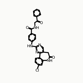 O=C1Cc2cnc(Nc3ccc(C(=O)NCC(=O)c4ccccc4)cc3)nc2-c2ccc(Cl)cc2N1